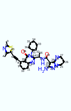 Cc1nc(C)c(C#Cc2cccc3nc(C(C)NC(=O)c4c(N)nn5cccnc45)n(-c4ccccc4)c(=O)c23)s1